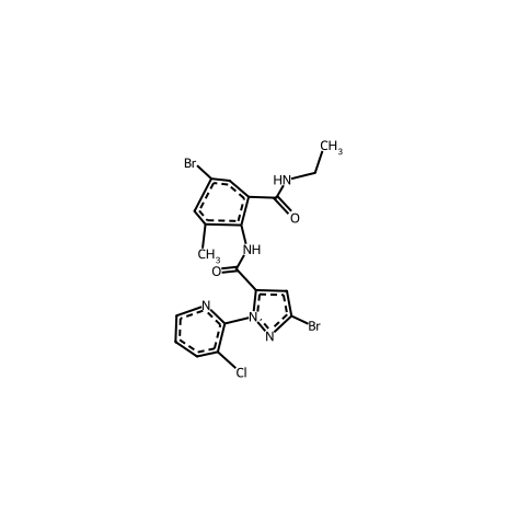 CCNC(=O)c1cc(Br)cc(C)c1NC(=O)c1cc(Br)nn1-c1ncccc1Cl